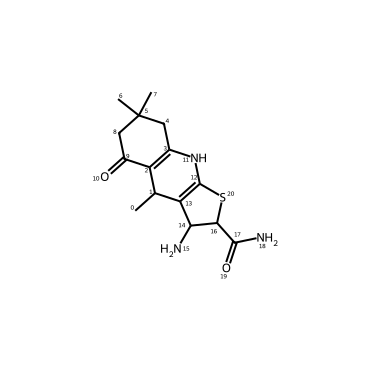 CC1C2=C(CC(C)(C)CC2=O)NC2=C1C(N)C(C(N)=O)S2